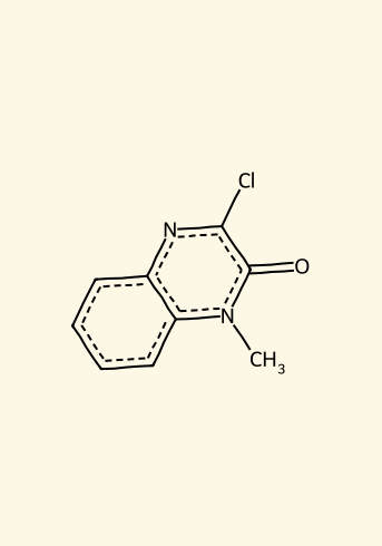 Cn1c(=O)c(Cl)nc2ccccc21